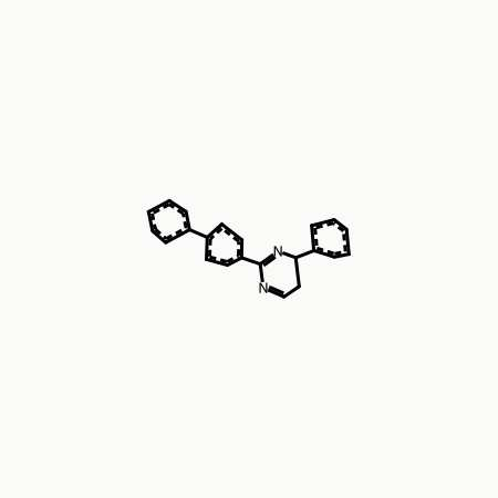 C1=NC(c2ccc(-c3ccccc3)cc2)=NC(c2ccccc2)C1